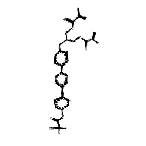 C=C(C)C(=O)OCC(COC(=O)C(=C)C)Cc1ccc(-c2ccc(-c3ccc(OC(=O)C(C)(C)C)cc3)cc2)cc1